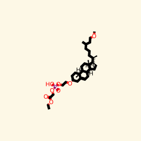 CCOC(=O)COP(=O)(O)OCCO[C@H]1CC[C@@]2(C)C(=CC[C@H]3[C@@H]4CC[C@H]([C@H](C)CCCC(C)CCOC)[C@@]4(C)CC[C@@H]32)C1